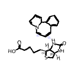 C1=CC2c3ccccc3/C=C\C=C/N2C=C1.O=C(O)CCCC[C@@H]1SC[C@@H]2NC(=O)N[C@@H]21